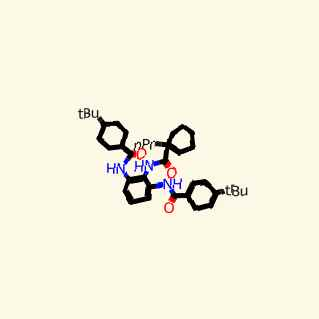 CCCC1(C(=O)Nc2c(NC(=O)C3CCC(C(C)(C)C)CC3)cccc2NC(=O)C2CCC(C(C)(C)C)CC2)CCCCC1